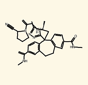 C=C(NC)c1ccc2c(c1)CCc1cc(C(=O)NC)ccc1C2(C[C@H](C)NCC(=C)N1CCCC1C#N)c1nnc(C)[nH]1